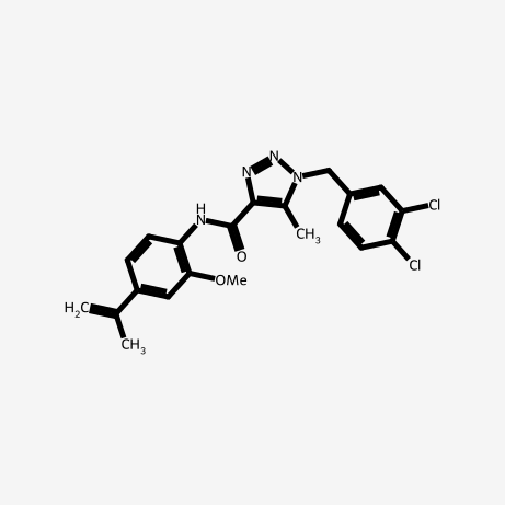 C=C(C)c1ccc(NC(=O)c2nnn(Cc3ccc(Cl)c(Cl)c3)c2C)c(OC)c1